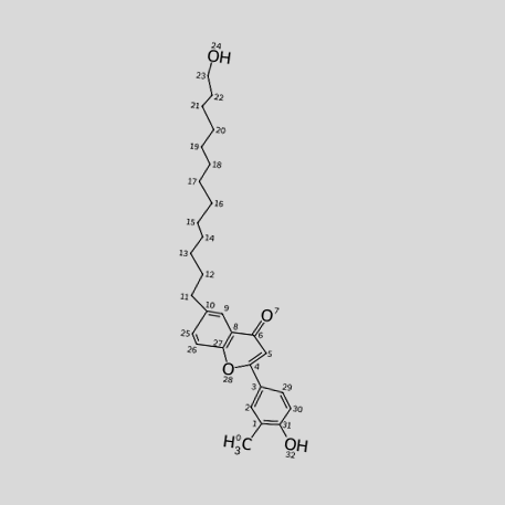 Cc1cc(-c2cc(=O)c3cc(CCCCCCCCCCCCCO)ccc3o2)ccc1O